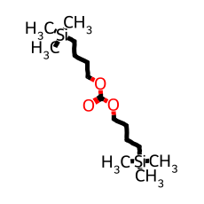 C[Si](C)(C)CCCCOC(=O)OCCCC[Si](C)(C)C